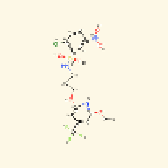 CCOc1cc(C(F)(F)F)cc(OCCCNS(=O)(=O)c2cc([N+](=O)[O-])ccc2Cl)n1